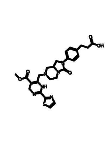 COC(=O)C1=C(CN2CCN3C(=O)N(c4ccc(CCC(=O)O)cc4)CC3C2)NC(c2nccs2)=NC1